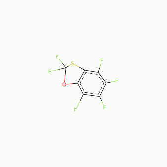 Fc1c(F)c(F)c2c(c1F)OC(F)(F)S2